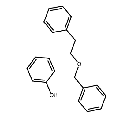 Oc1ccccc1.c1ccc(CCOCc2ccccc2)cc1